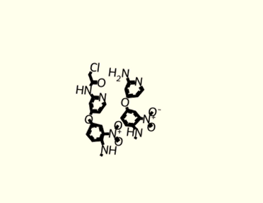 CNc1ccc(Oc2ccnc(N)c2)cc1[N+](=O)[O-].CNc1ccc(Oc2ccnc(NC(=O)CCl)c2)cc1[N+](=O)[O-]